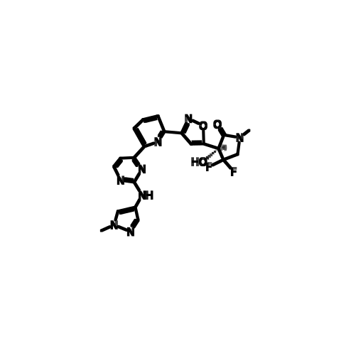 CN1CC(F)(F)[C@@](O)(c2cc(-c3cccc(-c4ccnc(Nc5cnn(C)c5)n4)n3)no2)C1=O